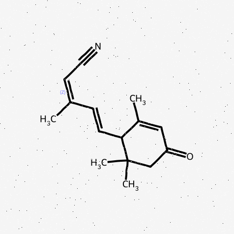 CC1=CC(=O)CC(C)(C)C1C=C/C(C)=C\C#N